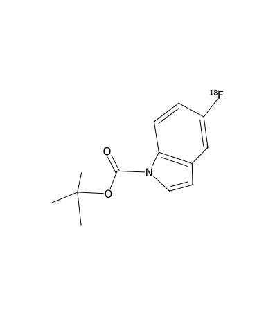 CC(C)(C)OC(=O)n1ccc2cc([18F])ccc21